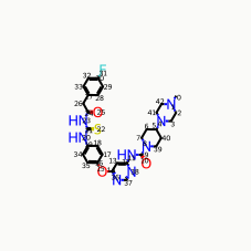 CN1CCN(C2CCN(C(=O)Nc3cc(Oc4ccc(NC(=S)NC(=O)Cc5ccc(F)cc5)cc4)ncn3)CC2)CC1